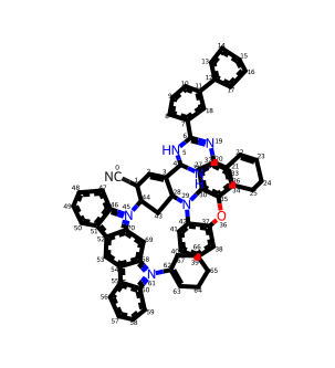 N#CC1C=C(C2NC(c3cccc(-c4ccccc4)c3)=NC(C3C=CCCC3)N2)C(N2c3ccccc3Oc3ccccc32)CC1n1c2ccccc2c2cc3c4ccccc4n(C4=CCCCC4)c3cc21